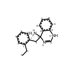 CCc1ccccc1CC1(N)N=CNc2ccccc21